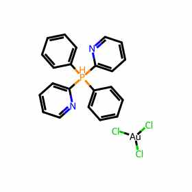 [Cl][Au]([Cl])[Cl].c1ccc([PH](c2ccccc2)(c2ccccn2)c2ccccn2)cc1